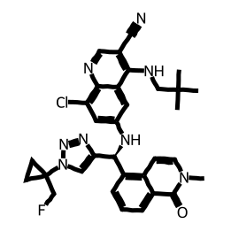 Cn1ccc2c([C@H](Nc3cc(Cl)c4ncc(C#N)c(NCC(C)(C)C)c4c3)c3cn(C4(CF)CC4)nn3)cccc2c1=O